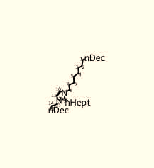 CCCCCCCCCCCCCCCCCCN1C=CN(CCCCCCCCCCCC)C1CCCCCCC